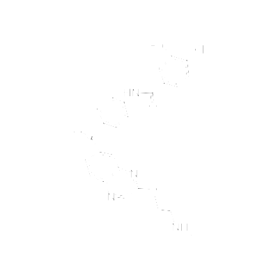 NCCOc1cnc2ccc(C(=O)c3ccc(NC(=O)c4ccc(Cl)c(C(F)(F)F)c4)cc3)cc2n1